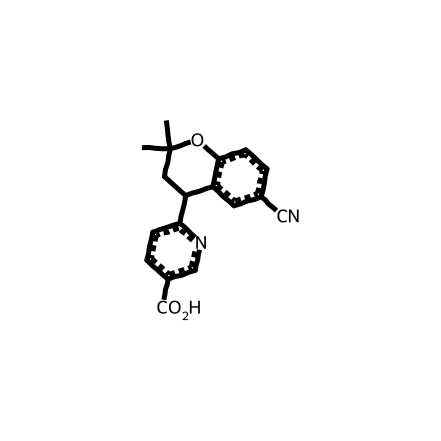 CC1(C)CC(c2ccc(C(=O)O)cn2)c2cc(C#N)ccc2O1